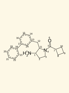 NC1CCN(C(=O)C2CCC2)C1Cc1cccc(-c2ccccc2)c1